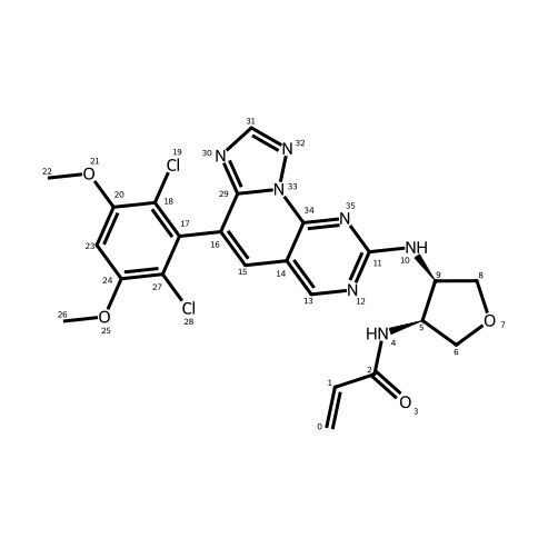 C=CC(=O)N[C@@H]1COC[C@@H]1Nc1ncc2cc(-c3c(Cl)c(OC)cc(OC)c3Cl)c3ncnn3c2n1